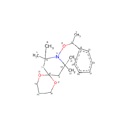 CC(ON1C(C)(C)CC2(CC1(C)C)OCCCO2)c1ccccc1